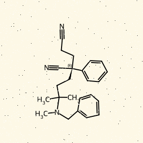 CN(Cc1ccccc1)C(C)(C)CC[C@@](C#N)(CCC#N)c1ccccc1